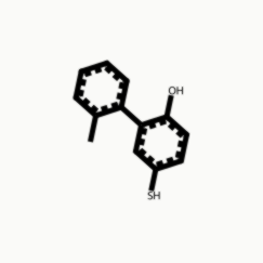 Cc1ccccc1-c1cc(S)ccc1O